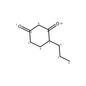 C[CH]CC1CCC(=O)CC1=O